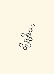 C1=CCCC(C2=NC(c3cccc4c3c3ccccc3n4C3=CC=CC4c5cccc(-c6ccccc6)c5OC34)=NC(c3ccc(-c4ccccc4)cc3)C2)=C1